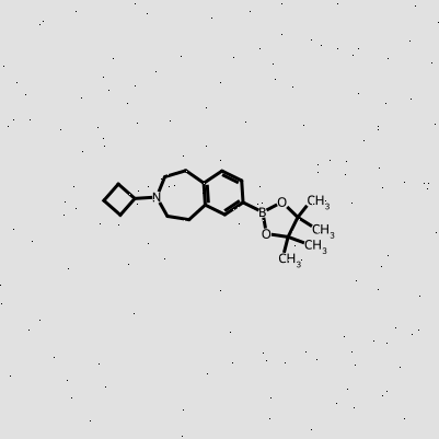 CC1(C)OB(c2ccc3c(c2)CCN(C2CCC2)CC3)OC1(C)C